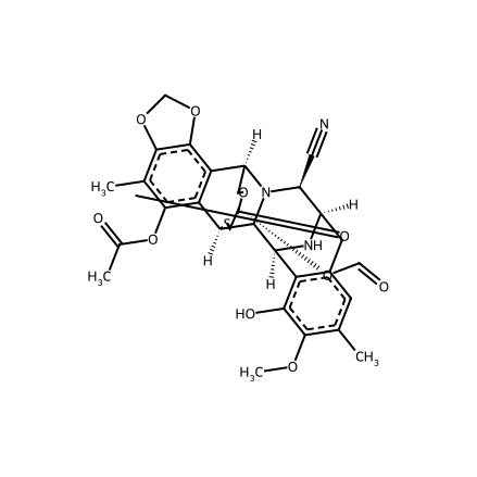 COc1c(C)cc2c(c1O)[C@@H]1N[C@H](C2)[C@H](C#N)N2C1[C@@H]1SC[C@H](OC=O)C(=O)OC[C@H]2c2c3c(c(C)c(OC(C)=O)c21)OCO3